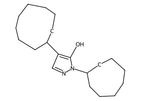 Oc1c(C2CCCCCCCC2)cnn1C1CCCCCCC1